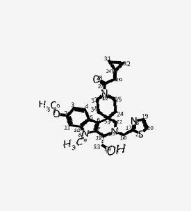 COc1ccc2c3c(n(C)c2c1)[C@@H](CO)N(Cc1nccs1)CC31CCN(C(=O)CC2CC2)CC1